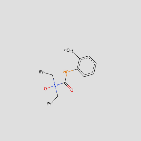 CCCCCCCCc1ccccc1PC(=O)[N+]([O-])(CC(C)C)CC(C)C